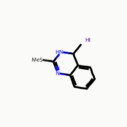 CSC1=Nc2ccccc2C(C)N1.I